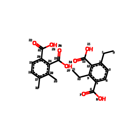 CCc1ccc(C(=O)O)c(CC)c1C(=O)O.Cc1ccc(C(=O)O)c(C(=O)O)c1C